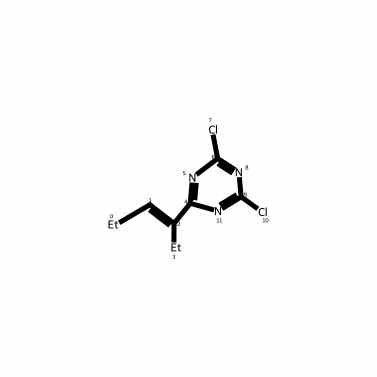 CC/C=C(\CC)c1nc(Cl)nc(Cl)n1